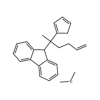 C=CCCC(C)(C1=CC=CC1)C1c2ccccc2-c2ccccc21.[CH3][Ti][CH3]